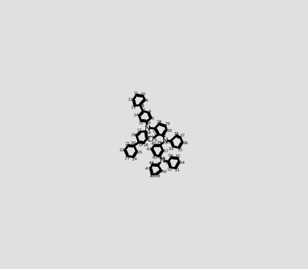 Clc1c(N(c2ccc(-c3ccccc3)cc2)c2ccc(-c3ccccc3)cc2)cccc1N(c1ccccc1)c1cccc(N(c2ccccc2)c2ccccc2)c1